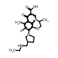 CCNCC1CCN(c2c(F)c(N)c3c(=O)c(C(=O)O)cn4c3c2OCC4C)C1